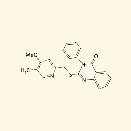 COc1cc(CSc2nc3ccccc3c(=O)n2-c2ccccc2)ncc1C